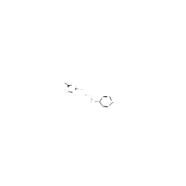 CC(C)(C)c1ccc(NCC(O)Cc2n[nH]c(=S)o2)cc1